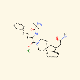 CCNC(=O)CC1CC2(CCN(C(=O)C(CCCc3ccccc3)NC(=O)C(C)(C)N)CC2)c2ccccc21.Cl